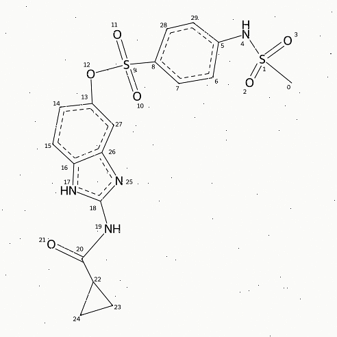 CS(=O)(=O)Nc1ccc(S(=O)(=O)Oc2ccc3[nH]c(NC(=O)C4CC4)nc3c2)cc1